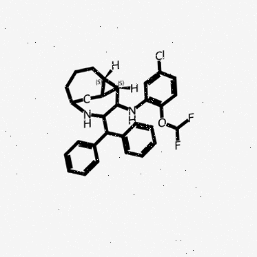 FC(F)Oc1ccc(Cl)cc1NC1C(C(c2ccccc2)c2ccccc2)NC2CCC[C@H]3C(C2)[C@@H]13